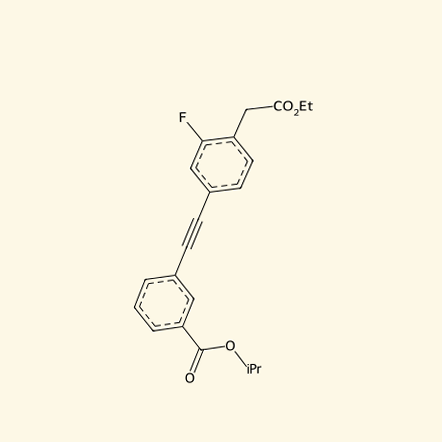 CCOC(=O)Cc1ccc(C#Cc2cccc(C(=O)OC(C)C)c2)cc1F